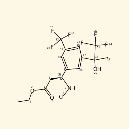 CCOC(=O)C[C@H](NCl)c1cc(C(F)(F)F)cc(C(C)(O)C(F)(F)F)c1